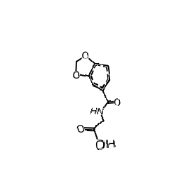 O=C(O)CNC(=O)c1ccc2c(c1)OCO2